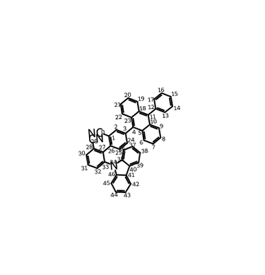 N#Cc1cc(-c2c3ccccc3c(-c3ccccc3)c3ccccc23)ccc1-c1c(C#N)cccc1-n1c2ccccc2c2ccccc21